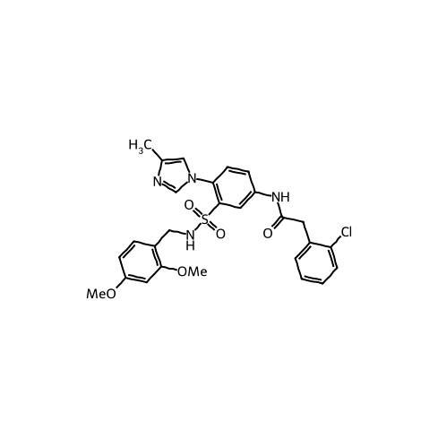 COc1ccc(CNS(=O)(=O)c2cc(NC(=O)Cc3ccccc3Cl)ccc2-n2cnc(C)c2)c(OC)c1